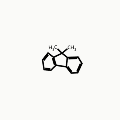 CC1(C)c2[c]cccc2-c2ccc[c]c21